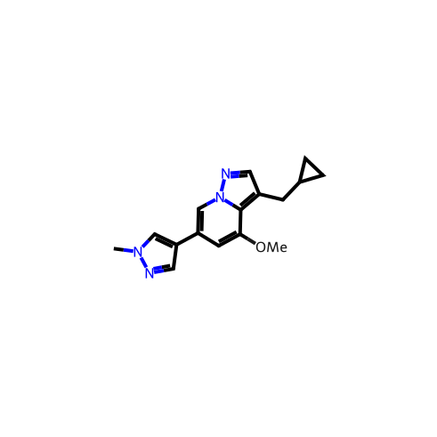 COc1cc(-c2cnn(C)c2)cn2ncc(CC3CC3)c12